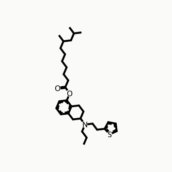 CCCN(CCc1cccs1)C1CCc2c(cccc2OC(=O)CCCCCCC(C)CC(C)C)C1